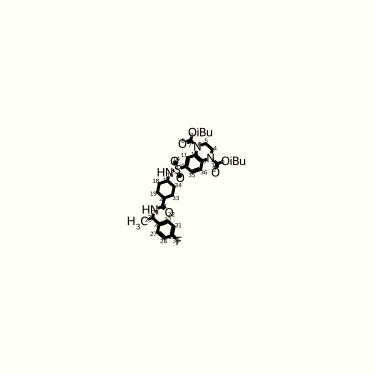 CC(C)COC(=O)N1CCN(C(=O)OCC(C)C)c2cc(S(=O)(=O)NC3CCC(C(=O)N[C@H](C)c4ccc(F)cc4)CC3)ccc21